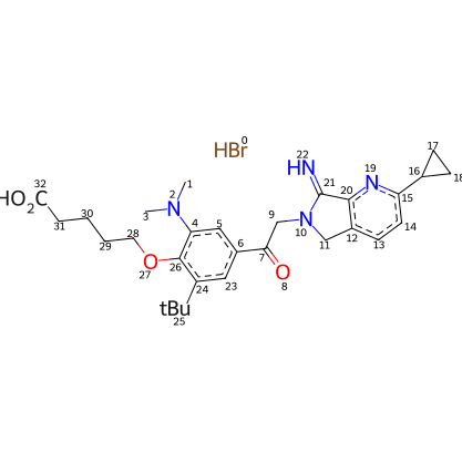 Br.CN(C)c1cc(C(=O)CN2Cc3ccc(C4CC4)nc3C2=N)cc(C(C)(C)C)c1OCCCCC(=O)O